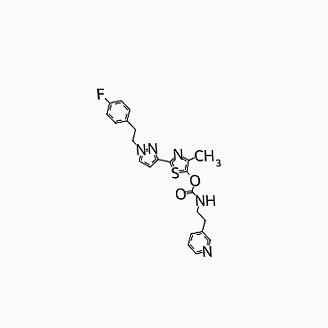 Cc1nc(-c2ccn(CCc3ccc(F)cc3)n2)sc1OC(=O)NCCc1cccnc1